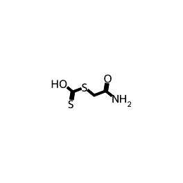 NC(=O)CSC(O)=S